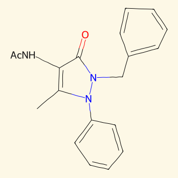 CC(=O)Nc1c(C)n(-c2ccccc2)n(Cc2ccccc2)c1=O